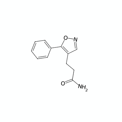 NC(=O)CCc1cnoc1-c1ccccc1